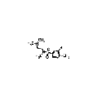 Cc1ccc(S(=O)(=O)N(C)CCN(C)C)cc1Br